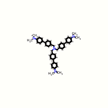 CN(C)c1ccc(-c2ccc(CN(Cc3ccc(-c4ccc(N(C)C)cc4)cc3)Cc3ccc(-c4ccc(N(C)C)cc4)cc3)cc2)cc1